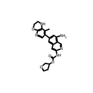 Cc1c(-c2cc(N)c3cnc(NC(=O)OC4CCOC4)cc3c2)cnc2c1NCCO2